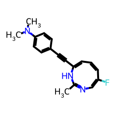 Cc1ncc(F)cccc(C#Cc2ccc(N(C)C)cc2)[nH]1